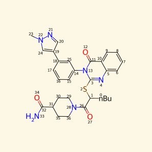 CCCCC(Sc1nc2ccccc2c(=O)n1-c1cccc(-c2cnn(C)c2)c1)C(=O)N1CCC(C(N)=O)CC1